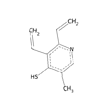 C=Cc1ncc(C)c(S)c1C=C